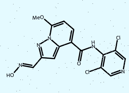 COc1ccc(C(=O)Nc2c(Cl)cncc2Cl)c2cc(C=NO)nn12